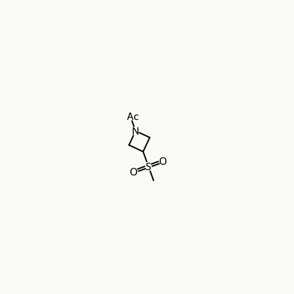 CC(=O)N1CC(S(C)(=O)=O)C1